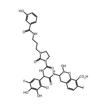 O=C(NCCCN1CCN(C(=O)NC(C(=O)NC2Cc3ccc(F)c(C(=O)O)c3OB2O)c2cc(F)c(O)c(O)c2Cl)C1=O)c1cccc(O)c1